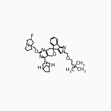 C[Si](C)(C)CCOCn1cc2c(n1)-c1ccccc1C21Cc2nc(OC[C@@]34CCCN3C[C@H](F)C4)nc(N3C[C@@H]4CC[C@@H](C4)C3)c2CO1